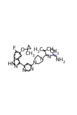 C=C(C)/C(=N\C(C)=C/N)N1CCN(c2cc(-c3n[nH]c4cc(F)c(OC5(C)CC5)cc34)ncn2)CC1